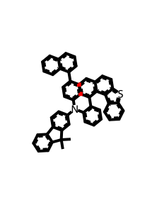 CC1(C)c2ccccc2-c2ccc(N(c3ccc(-c4cccc5ccccc45)cc3)c3ccccc3-c3cccc4ccc5sc6ccccc6c5c34)cc21